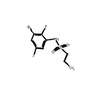 CCCS(=O)(=O)Nc1cc(F)cc(Br)c1F